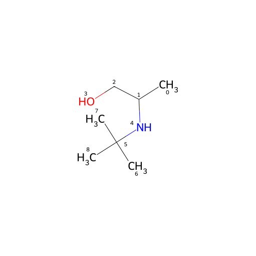 CC(CO)NC(C)(C)C